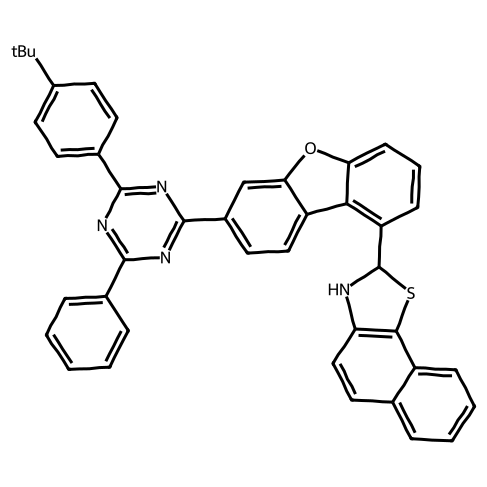 CC(C)(C)c1ccc(-c2nc(-c3ccccc3)nc(-c3ccc4c(c3)oc3cccc(C5Nc6ccc7ccccc7c6S5)c34)n2)cc1